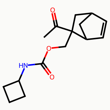 CC(=O)C1(COC(=O)NC2CCC2)CC2C=CC1C2